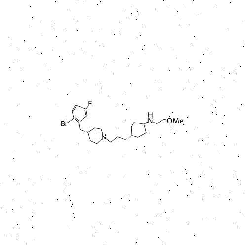 COCCN[C@H]1CC[C@H](CCCN2CCC(Cc3cc(F)ccc3Br)CC2)CC1